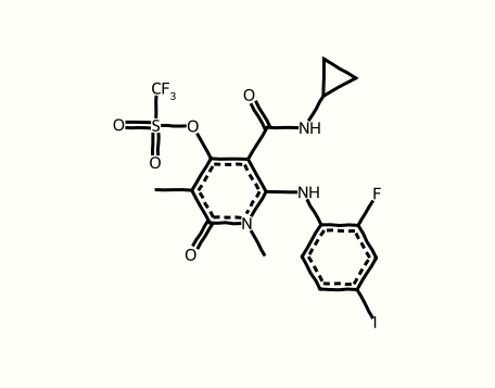 Cc1c(OS(=O)(=O)C(F)(F)F)c(C(=O)NC2CC2)c(Nc2ccc(I)cc2F)n(C)c1=O